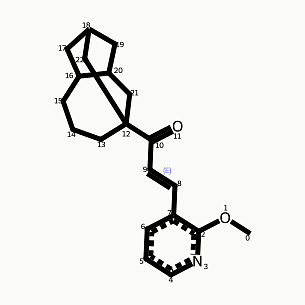 COc1ncccc1/C=C/C(=O)C12CCCC3CC(CC3C1)C2